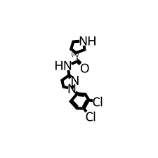 O=C(NC1=NN(c2ccc(Cl)c(Cl)c2)CC1)[C@@H]1CCNC1